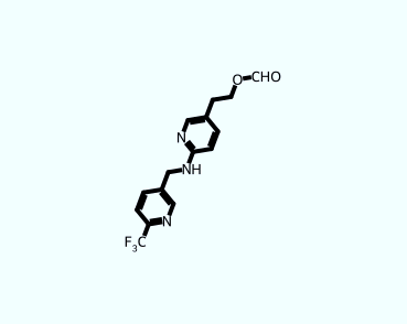 O=COCCc1ccc(NCc2ccc(C(F)(F)F)nc2)nc1